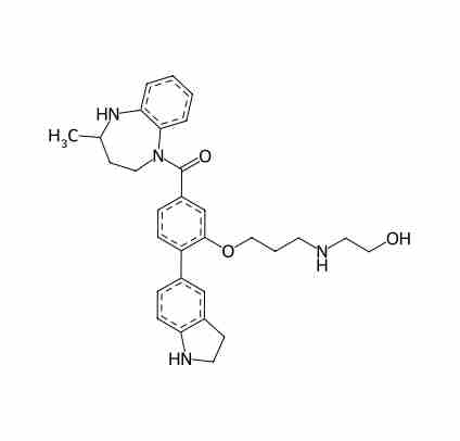 CC1CCN(C(=O)c2ccc(-c3ccc4c(c3)CCN4)c(OCCCNCCO)c2)c2ccccc2N1